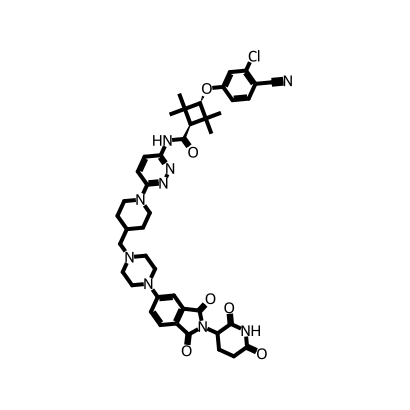 CC1(C)[C@H](Oc2ccc(C#N)c(Cl)c2)C(C)(C)[C@H]1C(=O)Nc1ccc(N2CCC(CN3CCN(c4ccc5c(c4)C(=O)N(C4CCC(=O)NC4=O)C5=O)CC3)CC2)nn1